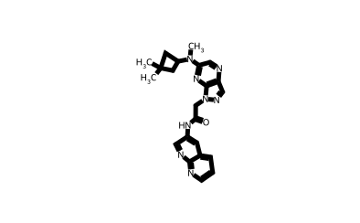 CN(c1cnc2cnn(CC(=O)Nc3cnc4ncccc4c3)c2n1)C1CC(C)(C)C1